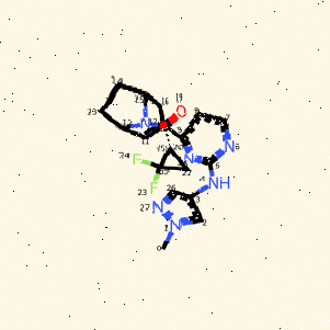 Cn1cc(Nc2nccc(C3=CC4CCC(C3)N4C(=O)[C@@H]3CC3(F)F)n2)cn1